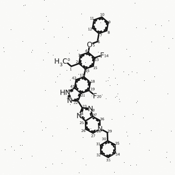 CCc1cc(OCc2ccccc2)c(F)cc1-c1cc(F)c2c(-c3nc4ccn(Cc5ccccc5)cc-4n3)n[nH]c2c1